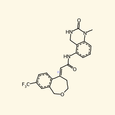 CN1C(=O)NCc2c(NC(=O)/C=C3\CCOCc4cc(C(F)(F)F)ccc43)cccc21